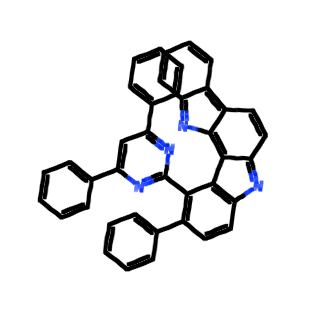 c1ccc(-c2cc(-c3ccccc3)nc(-c3c(-c4ccccc4)ccc4c3-c3c5c(ccc3=N4)=c3ccccc3=N5)n2)cc1